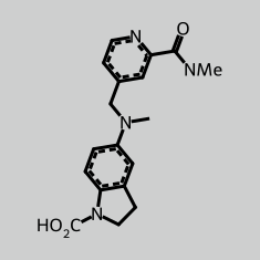 CNC(=O)c1cc(CN(C)c2ccc3c(c2)CCN3C(=O)O)ccn1